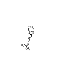 CCn1cc(COCCNC(C)C)nn1